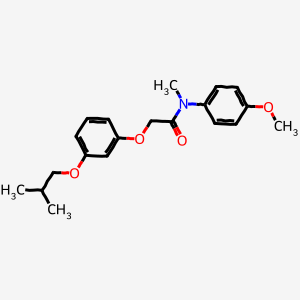 COc1ccc(N(C)C(=O)COc2cccc(OCC(C)C)c2)cc1